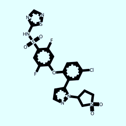 O=S1(=O)CCC(n2nccc2-c2cc(Cl)ccc2Oc2cc(F)c(S(=O)(=O)Nc3ncns3)cc2F)C1